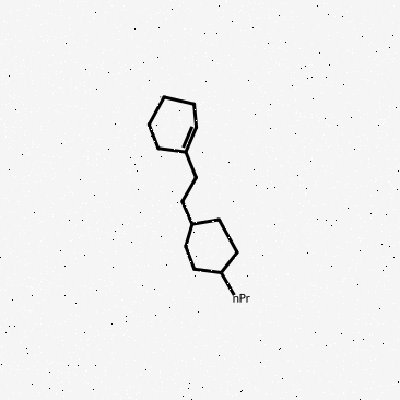 CCCC1CCC(CCC2=CC[CH]CC2)CC1